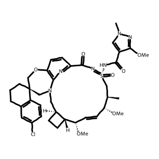 COc1nn(C)cc1C(=O)N[S@@]1(=O)=NC(=O)c2ccc3c(n2)N(C[C@@H]2CC[C@H]2[C@@H](OC)/C=C/[C@@H](OC)[C@H](C)C1)C[C@@]1(CCCc2cc(Cl)ccc21)CO3